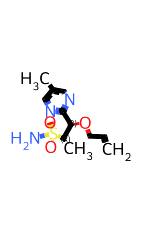 C=CCO[C@H](c1ncc(C)cn1)[C@@H](C)S(N)(=O)=O